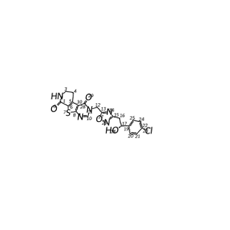 O=C1NCCc2c1sc1ncn(Cc3nc(C[C@H](O)c4ccc(Cl)cc4)no3)c(=O)c21